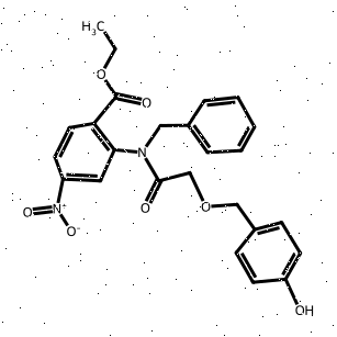 CCOC(=O)c1ccc([N+](=O)[O-])cc1N(Cc1ccccc1)C(=O)COCc1ccc(O)cc1